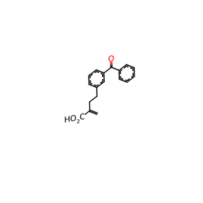 C=C(CCc1cccc(C(=O)c2ccccc2)c1)C(=O)O